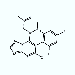 C=C(C)CN(CC)c1c(-c2c(F)cc(F)cc2F)c(Cl)nc2ncnn12